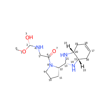 CO[C@H](O)NCC(=O)N1CCC[C@H]1[C@H]1N[C@H]2CC=CC[C@H]2N1